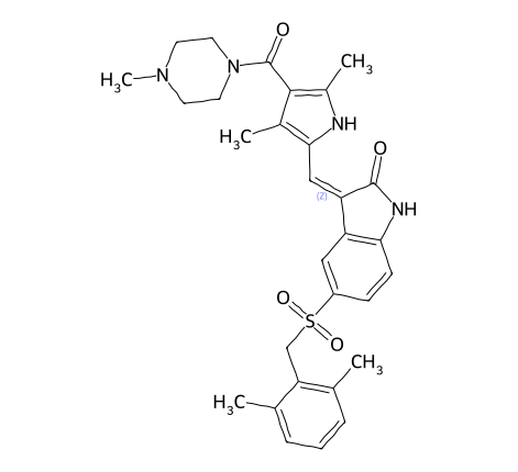 Cc1cccc(C)c1CS(=O)(=O)c1ccc2c(c1)/C(=C/c1[nH]c(C)c(C(=O)N3CCN(C)CC3)c1C)C(=O)N2